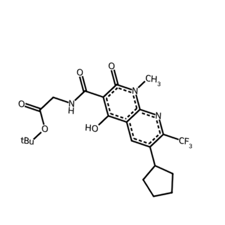 Cn1c(=O)c(C(=O)NCC(=O)OC(C)(C)C)c(O)c2cc(C3CCCC3)c(C(F)(F)F)nc21